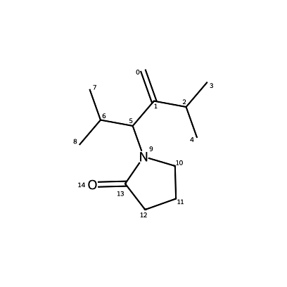 C=C(C(C)C)C(C(C)C)N1CCCC1=O